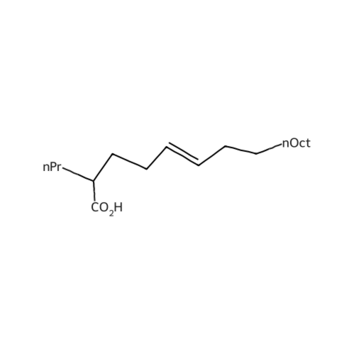 CCCCCCCCCCC=CCCC(CCC)C(=O)O